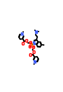 Cc1ccc2c(c1)c(CCN(C)C)cn2P(=O)(OCOC(=O)C1=CN(C)C=CC1)OCOC(=O)C1=CN(C)C=CC1